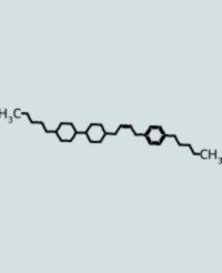 CCCCCc1ccc(C/C=C\CC2CCC(C3CCC(CCCCC)CC3)CC2)cc1